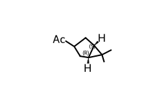 CC(=O)C1C[C@@H]2[C@H](C1)C2(C)C